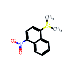 C[S+](C)c1ccc([N+](=O)[O-])c2ccccc12